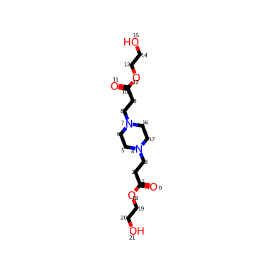 O=C(CCN1CCN(CCC(=O)OCCO)CC1)OCCO